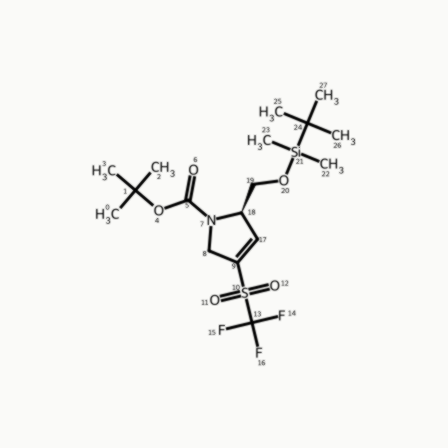 CC(C)(C)OC(=O)N1CC(S(=O)(=O)C(F)(F)F)=C[C@@H]1CO[Si](C)(C)C(C)(C)C